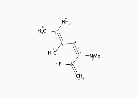 C=C(F)/C(=C\C(C)=C(\C)N)NC